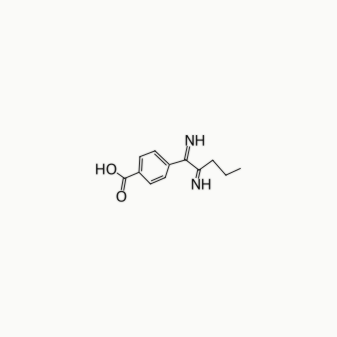 CCCC(=N)C(=N)c1ccc(C(=O)O)cc1